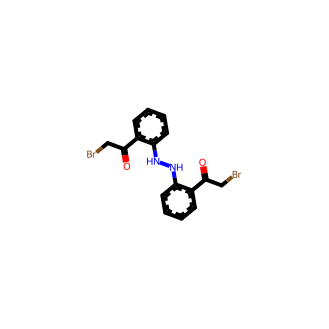 O=C(CBr)c1ccccc1NNc1ccccc1C(=O)CBr